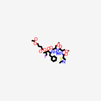 COCC(NC(=O)c1cnc(C)s1)C(=O)NC(COC)C(=O)NC(Cc1ccccc1)C(=O)C(C)(CI)OC(=O)CCCOC(C)=O